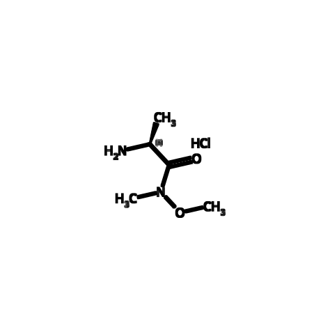 CON(C)C(=O)[C@H](C)N.Cl